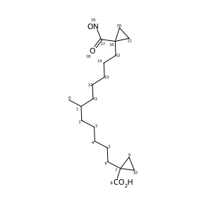 CC(CCCCCC1(C(=O)O)CC1)CCCCCC1(C(=O)N=O)CC1